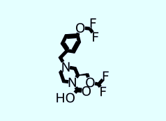 O=C(O)N1CCN(Cc2ccc(OC(F)F)cc2)C[C@H]1COC(F)F